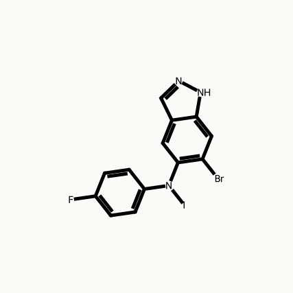 Fc1ccc(N(I)c2cc3cn[nH]c3cc2Br)cc1